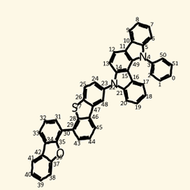 c1ccc(-n2c3ccccc3c3ccc4c(c5ccccc5n4-c4ccc5sc6c(-c7cccc8c7oc7ccccc78)cccc6c5c4)c32)cc1